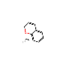 C1=Cc2ccccc2OC1.[Hf].[Mo]